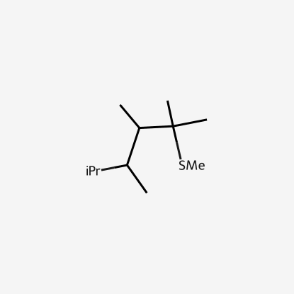 CSC(C)(C)C(C)C(C)C(C)C